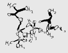 C=C(C)C(=O)OC[Si](C)(O[Si](C)(C)C)O[Si](C)(C)C.C=CC(=O)N(C)C